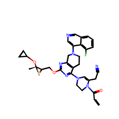 C=CC(=O)N1CCN(c2nc(OCC3S[C@]3(C)OC3CC3)nc3c2CCN(c2cncc4cccc(F)c24)C3)C=C1CC#N